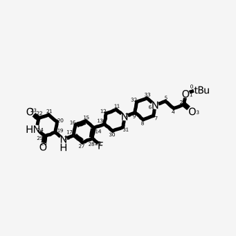 CC(C)(C)OC(=O)CCN1CCC(N2CCC(c3ccc(NC4CCC(=O)NC4=O)cc3F)CC2)CC1